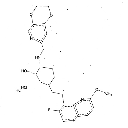 COc1ccc2ncc(F)c(CCN3CC[C@@H](NCc4cc5c(cn4)OCCO5)[C@@H](O)C3)c2n1.Cl.Cl